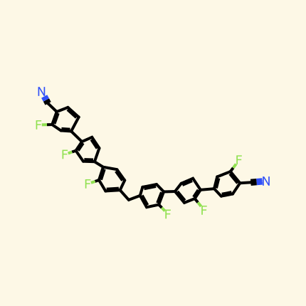 N#Cc1ccc(-c2ccc(-c3ccc(Cc4ccc(-c5ccc(-c6ccc(C#N)c(F)c6)c(F)c5)c(F)c4)cc3F)cc2F)cc1F